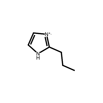 CCCC1=[N+]C=CN1